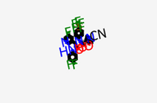 CC1(O)[C@@H](C(=O)N(c2ccc(S(F)(F)(F)(F)F)cc2)C(C(=O)NC2CCC(F)(F)CC2)c2cncc(F)c2)CN1C#N